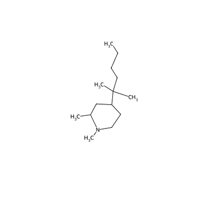 CCCCC(C)(C)C1CCN(C)C(C)C1